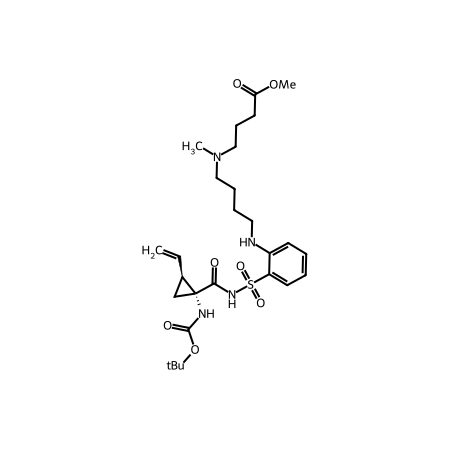 C=C[C@@H]1C[C@]1(NC(=O)OC(C)(C)C)C(=O)NS(=O)(=O)c1ccccc1NCCCCN(C)CCCC(=O)OC